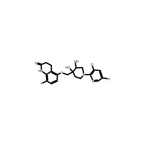 O=C1CCc2c(OCC3(O)CCN(c4ncc(Cl)cc4Cl)CC3O)ccc(F)c2N1